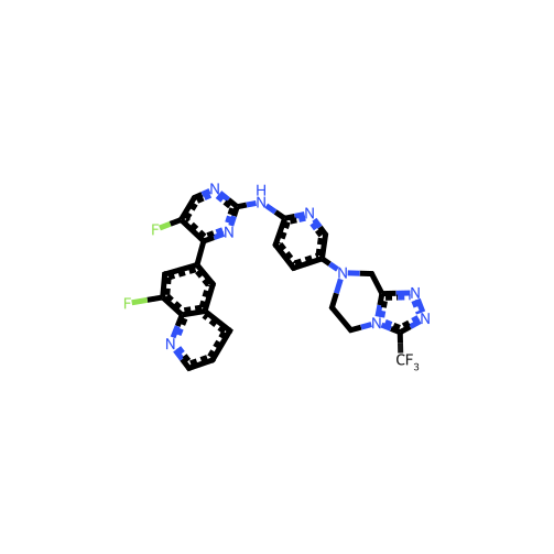 Fc1cnc(Nc2ccc(N3CCn4c(nnc4C(F)(F)F)C3)cn2)nc1-c1cc(F)c2ncccc2c1